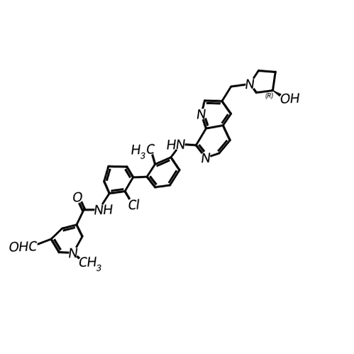 Cc1c(Nc2nccc3cc(CN4CC[C@@H](O)C4)cnc23)cccc1-c1cccc(NC(=O)C2=CC(C=O)=CN(C)C2)c1Cl